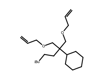 C=CCOCC(CCC(C)CC)(COCC=C)C1CCCCC1